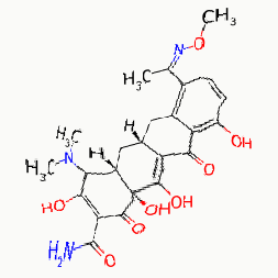 CO/N=C(/C)c1ccc(O)c2c1C[C@H]1C[C@H]3C(N(C)C)C(O)=C(C(N)=O)C(=O)[C@@]3(O)C(O)=C1C2=O